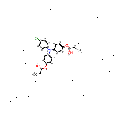 CCC(O)Oc1ccc(N(c2ccc(Cl)cc2)c2ccc(OC(O)CC)cc2)cc1